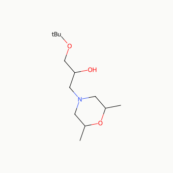 CC1CN(CC(O)COC(C)(C)C)CC(C)O1